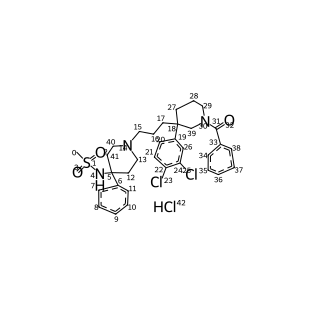 CS(=O)(=O)NC1(c2ccccc2)CCN(CCCC2(c3ccc(Cl)c(Cl)c3)CCCN(C(=O)c3ccccc3)C2)CC1.Cl